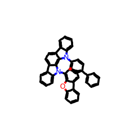 c1ccc(-c2ccc(-n3c4ccccc4c4ccc5c6ccccc6n(-c6cccc7c6oc6ccccc67)c5c43)cc2)cc1